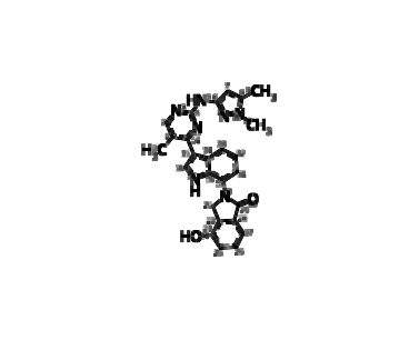 Cc1cnc(Nc2cc(C)n(C)n2)nc1-c1c[nH]c2c(N3Cc4c(O)cccc4C3=O)cccc12